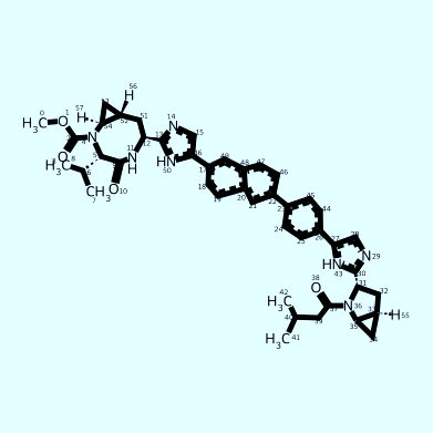 COC(=O)N1[C@@H](C(C)C)C(=O)N[C@H](c2ncc(-c3ccc4cc(-c5ccc(-c6cnc([C@@H]7C[C@H]8CC8N7C(=O)CC(C)C)[nH]6)cc5)ccc4c3)[nH]2)C[C@H]2C[C@@H]21